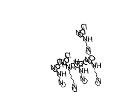 Cc1cc(NCCCCCCN2CCCCC2)c2ccccc2n1.Cc1cc(NCCCN2CCCCC2)c2ccccc2n1.Clc1ccc2c(NCCCCCCCCN3CCCCC3)ccnc2c1.Clc1ccc2c(NCCCCN3CCCCC3)ccnc2c1.Clc1ccc2c(NCCCN3CCCCC3)ccnc2c1